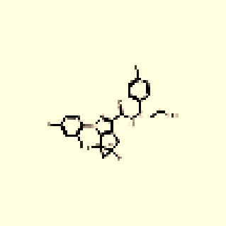 O=C(N[C@@H](CCO)c1ccc(F)cc1)c1nn(-c2ccc(F)cc2F)c2c1C[C@@H]1C[C@H]21